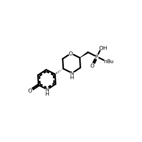 CCCCP(=O)(O)C[C@H]1CN[C@H](c2ccc(=O)[nH]c2)CO1